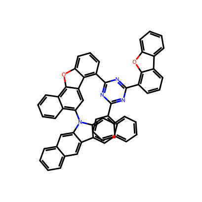 c1ccc(-c2nc(-c3cccc4c3oc3ccccc34)nc(-c3cccc4oc5c6ccccc6c(-n6c7cc8ccccc8cc7c7cc8ccccc8cc76)cc5c34)n2)cc1